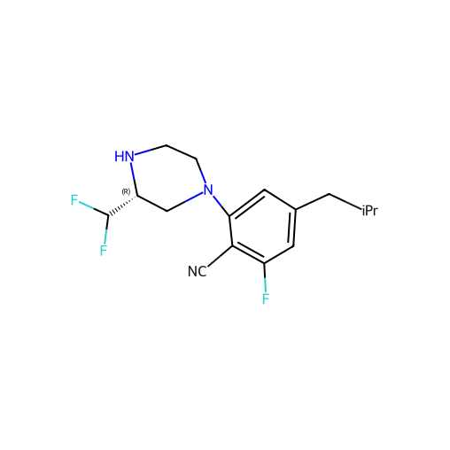 CC(C)Cc1cc(F)c(C#N)c(N2CCN[C@@H](C(F)F)C2)c1